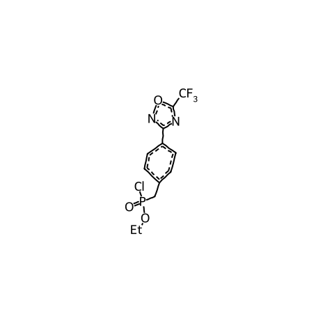 CCOP(=O)(Cl)Cc1ccc(-c2noc(C(F)(F)F)n2)cc1